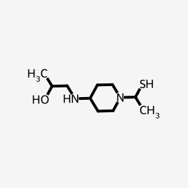 CC(O)CNC1CCN(C(C)S)CC1